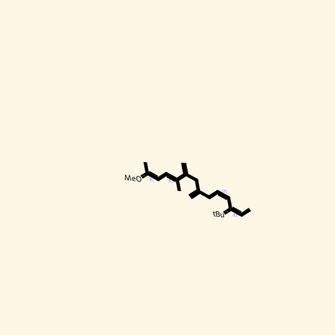 C=C(C/C=C\C(=C/C)C(C)(C)C)CC(=C)/C(C)=C/C=C(\C)OC